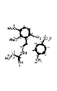 COc1ccc([N+](=O)[O-])c(C=NNC(=N)NO)c1OC.Cc1ccc(S(=O)(=O)O)cc1